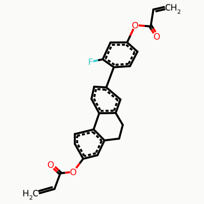 C=CC(=O)Oc1ccc(-c2ccc3c(c2)CCc2cc(OC(=O)C=C)ccc2-3)c(F)c1